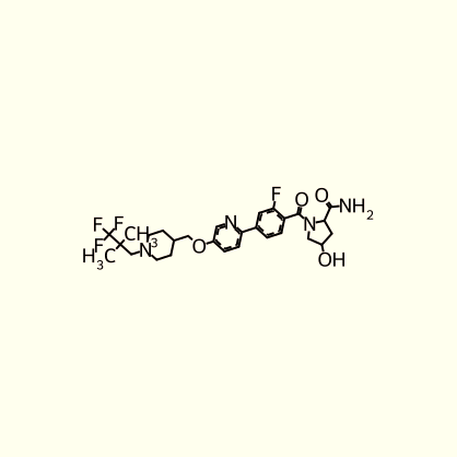 CC(C)(CN1CCC(COc2ccc(-c3ccc(C(=O)N4CC(O)CC4C(N)=O)c(F)c3)nc2)CC1)C(F)(F)F